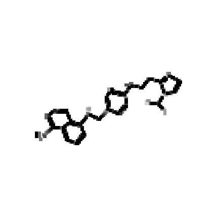 Nc1nccc2c(NCc3ccc(NCCc4nccn4C(F)F)nc3)cccc12